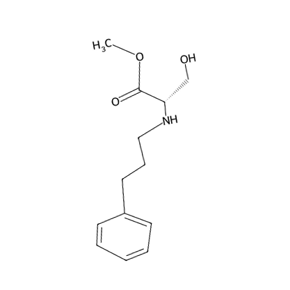 COC(=O)[C@H](CO)NCCCc1ccccc1